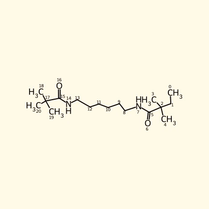 CCC(C)(C)C(=O)NCCCCCCNC(=O)C(C)(C)C